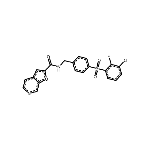 O=C(NCc1ccc(S(=O)(=O)c2cccc(Cl)c2F)cc1)c1cc2ccncc2o1